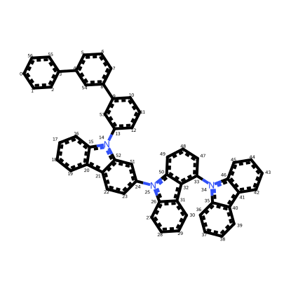 c1ccc(-c2cccc(-c3cccc(-n4c5ccccc5c5ccc(-n6c7ccccc7c7c(-n8c9ccccc9c9ccccc98)cccc76)cc54)c3)c2)cc1